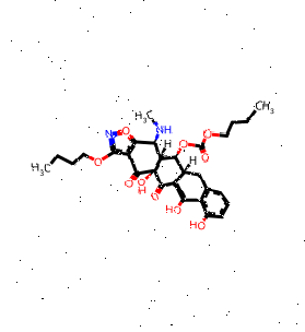 CCCCOC(=O)O[C@@H]1[C@H]2[C@H](NC)c3onc(OCCCC)c3C(=O)[C@@]2(O)C(=O)C2=C(O)c3c(O)cccc3C[C@H]21